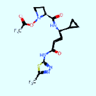 O=C(/C=C/[C@@H](NC(=O)[C@@H]1CCN1OC(=O)C(F)(F)F)C1CC1)Nc1nnc(C(F)(F)F)s1